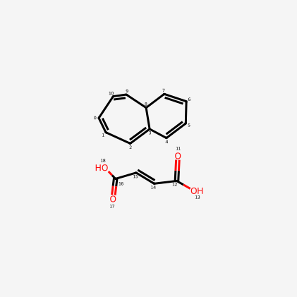 C1=CC=C2C=CC=CC2C=C1.O=C(O)/C=C/C(=O)O